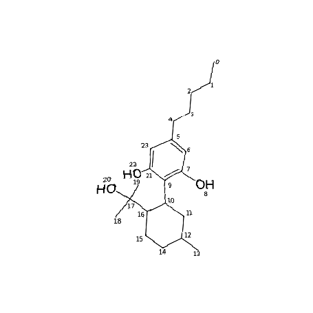 CCCCCc1cc(O)c(C2CC(C)CCC2C(C)(C)O)c(O)c1